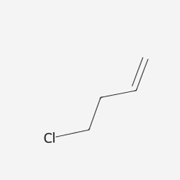 C=CCCCl